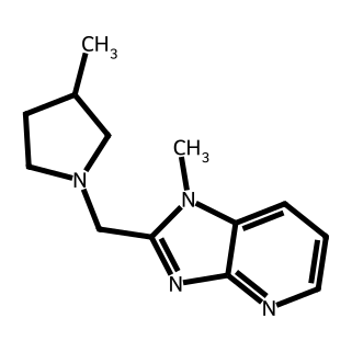 CC1CCN(Cc2nc3ncccc3n2C)C1